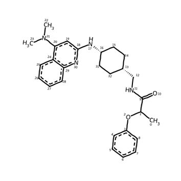 CC(Oc1ccccc1)C(=O)NC[C@H]1CC[C@@H](Nc2cc(N(C)C)c3ccccc3n2)CC1